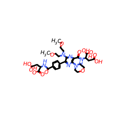 COCCN(CCOC)c1nc(C(=O)NC(CC(=O)O)C(O)O)c(N2CCOCC2)nc1-c1ccc(C(=O)NC(CC(=O)O)C(=O)O)cc1